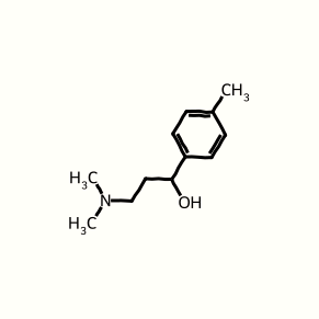 Cc1ccc(C(O)CCN(C)C)cc1